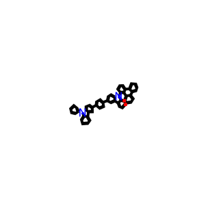 c1ccc(-n2c3ccccc3c3cc(-c4ccc(-c5ccc6c(c5)c5ccccc5n6-c5cccc6c7ccccc7c7ccccc7c56)cc4)ccc32)cc1